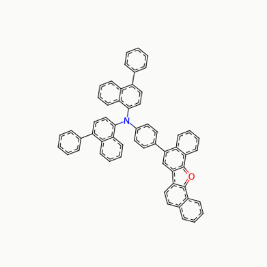 c1ccc(-c2ccc(N(c3ccc(-c4cc5c6ccc7ccccc7c6oc5c5ccccc45)cc3)c3ccc(-c4ccccc4)c4ccccc34)c3ccccc23)cc1